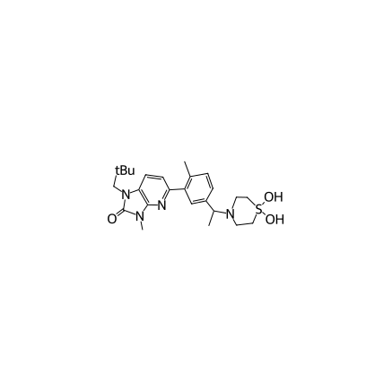 Cc1ccc(C(C)N2CCS(O)(O)CC2)cc1-c1ccc2c(n1)n(C)c(=O)n2CC(C)(C)C